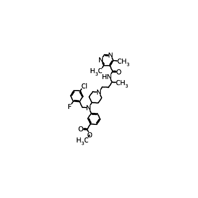 COC(=O)c1cccc(N(Cc2cc(Cl)ccc2F)C2CCN(CCC(C)NC(=O)c3c(C)ncnc3C)CC2)c1